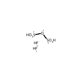 F.F.O=S(=O)(O)OS(=O)(=O)O